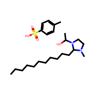 CCCCCCCCCCCC1N(C)CCN1C(C)O.Cc1ccc(S(=O)(=O)O)cc1